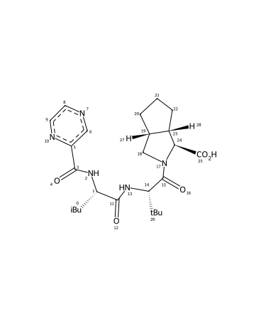 CCC(C)[C@H](NC(=O)c1cnccn1)C(=O)N[C@H](C(=O)N1C[C@@H]2CCC[C@@H]2[C@H]1C(=O)O)C(C)(C)C